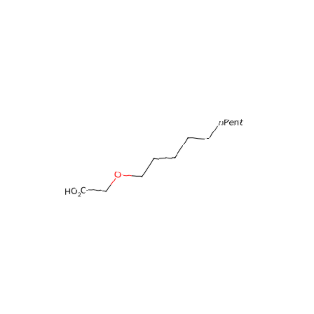 CCCCCCCCCCOCC(=O)O